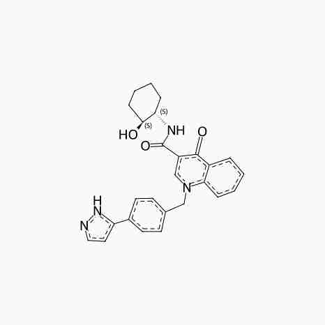 O=C(N[C@H]1CCCC[C@@H]1O)c1cn(Cc2ccc(-c3ccn[nH]3)cc2)c2ccccc2c1=O